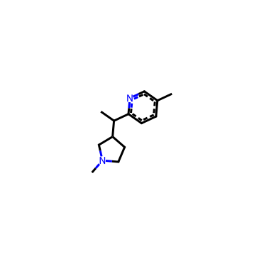 Cc1ccc(C(C)C2CCN(C)C2)nc1